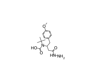 COc1ccc(CC(CC(=O)NN)N(C(=O)O)C(C)(C)C)cc1